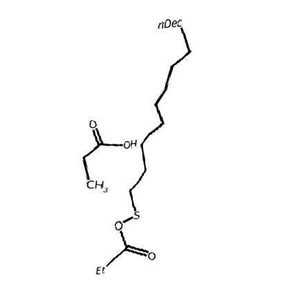 CCC(=O)O.CCCCCCCCCCCCCCCCCCSOC(=O)CC